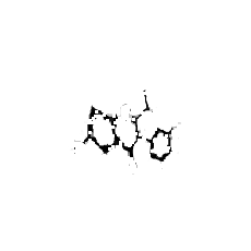 CC(O)c1oc2ccc(F)cc2c(=O)c1-c1cccc(F)c1